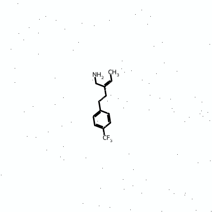 C/C=C(\CN)CCc1ccc(C(F)(F)F)cc1